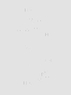 CCOP(=O)(COC(=O)CCSSCCC(=O)OCP(=O)(OCC)OCC)OCC